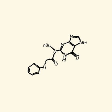 CCCCN(C(=O)COc1ccccc1)c1nc2nc[nH]c2c(=O)[nH]1